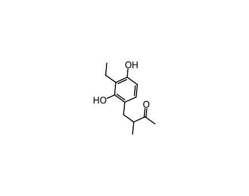 CCc1c(O)ccc(CC(C)C(C)=O)c1O